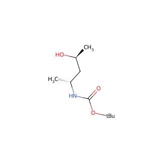 C[C@H](O)C[C@@H](C)NC(=O)OC(C)(C)C